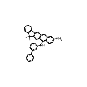 CC1(C)C2=C(CCC=C2)c2cc3cc4cc(N)ccc4c(Nc4cccc(-c5ccccc5)c4)c3cc21